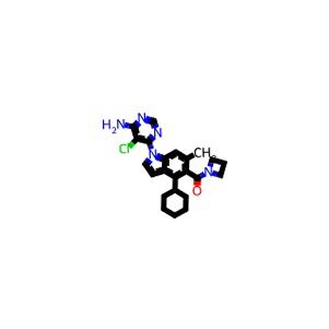 Cc1cc2c(ccn2-c2ncnc(N)c2Cl)c(C2CCCCC2)c1C(=O)N1CCC1